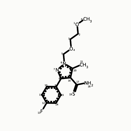 COCCOCn1nc(-c2ccc(F)cc2)c(C(N)=S)c1C